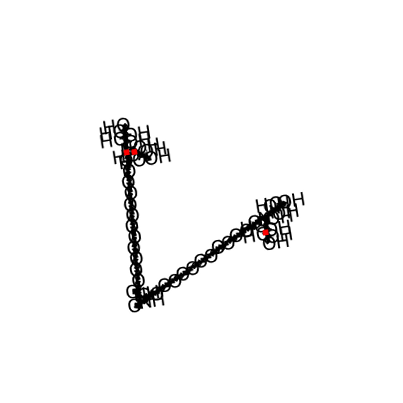 CC(=O)C(CNC(=O)CCOCCOCCOCCOCCOCCOCCOCCOCCOCCOCCOCCOCCN(C[C@H](O)[C@@H](O)[C@H](O)[C@H](O)CO)C[C@H](O)[C@@H](O)[C@H](O)[C@H](O)CO)NC(=O)CCOCCOCCOCCOCCOCCOCCOCCOCCOCCOCCOCCOCCN(C[C@H](O)[C@@H](O)[C@H](O)[C@H](O)CO)C[C@H](O)[C@@H](O)[C@H](O)[C@H](O)CO